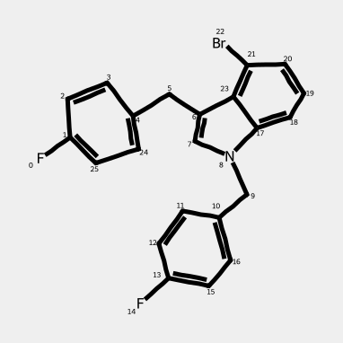 Fc1ccc(Cc2cn(Cc3ccc(F)cc3)c3cccc(Br)c23)cc1